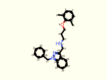 Cc1cccc(C)c1OCCCNCc1nn(Cc2ccccc2)c2ccccc12